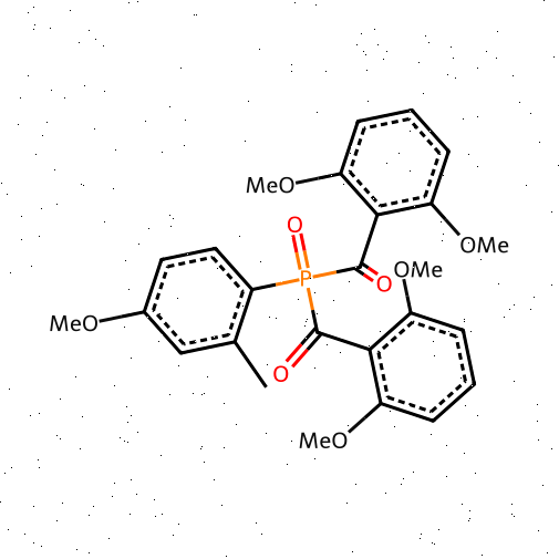 COc1ccc(P(=O)(C(=O)c2c(OC)cccc2OC)C(=O)c2c(OC)cccc2OC)c(C)c1